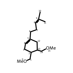 COCC1CC=C(CCC=C(C)C)CC1COC